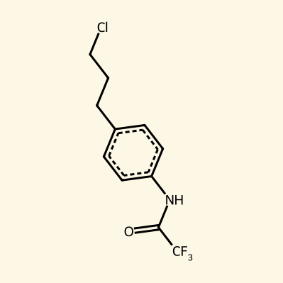 O=C(Nc1ccc(CCCCl)cc1)C(F)(F)F